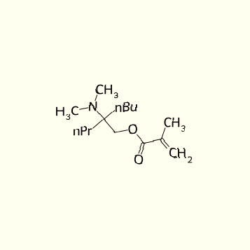 C=C(C)C(=O)OCC(CCC)(CCCC)N(C)C